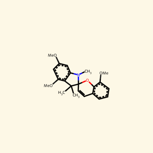 COc1cc(OC)c2c(c1)N(C)C1(C=Cc3cccc(OC)c3O1)C2(C)C